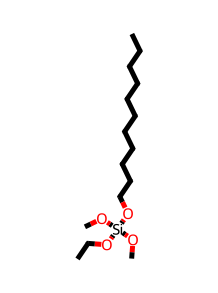 CCCCCCCCCCCO[Si](OC)(OC)OCC